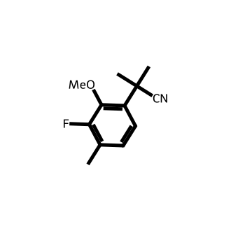 COc1c(C(C)(C)C#N)ccc(C)c1F